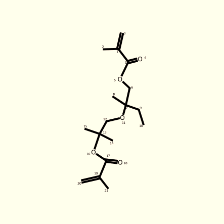 C=C(C)C(=O)OCC(C)(CC)OCC(C)(C)OC(=O)C(=C)C